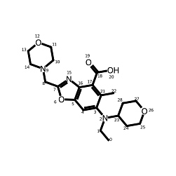 CCN(c1cc2oc(CN3CCOCC3)nc2c(C(=O)O)c1C)C1CCOCC1